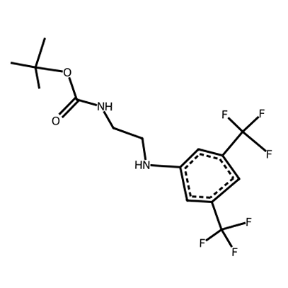 CC(C)(C)OC(=O)NCCNc1cc(C(F)(F)F)cc(C(F)(F)F)c1